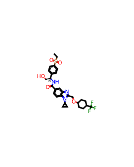 CCS(=O)(=O)c1ccc([C@H](CO)NC(=O)c2ccc3c(c2)nc(COC2CCC(C(F)(F)F)CC2)n3C2CC2)cc1